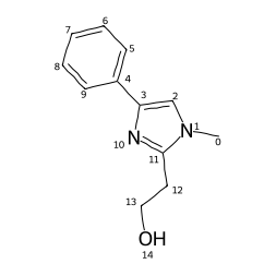 Cn1cc(-c2ccccc2)nc1CCO